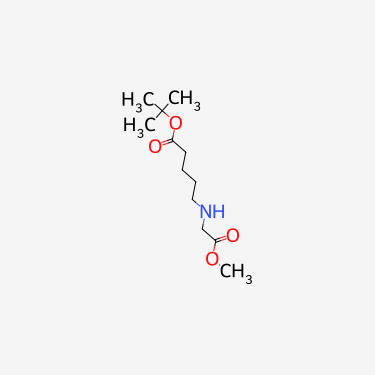 COC(=O)CNCCCCC(=O)OC(C)(C)C